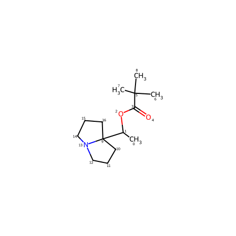 CC(OC(=O)C(C)(C)C)C12CCCN1CCC2